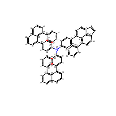 C1=Cc2ccc(-c3ccc(N(c4ccc(-c5cccc6cccc(-c7ccccc7)c56)cc4)c4ccc(-c5cccc6cccc(-c7ccccc7)c56)cc4)cc3)c3c(-c4ccccc4)ccc1c23